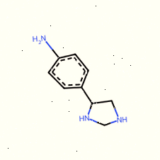 Nc1ccc(C2CNCN2)cc1